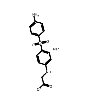 Nc1ccc(S(=O)(=O)c2ccc(NCC(=O)[O-])cc2)cc1.[Na+]